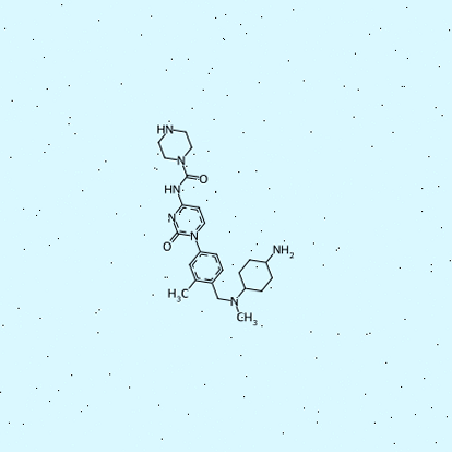 Cc1cc(-n2ccc(NC(=O)N3CCNCC3)nc2=O)ccc1CN(C)C1CCC(N)CC1